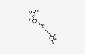 CC(C)COc1cc(CCNCCC/C=C/CN2CCC(=O)NC2=O)ccc1F